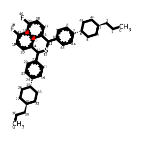 CCC[C@H]1CC[C@H](c2ccc(C(SC(c3ccc(F)cc3)c3ccc([C@H]4CC[C@H](CCC)CC4)cc3)c3ccc(F)cc3)cc2)CC1